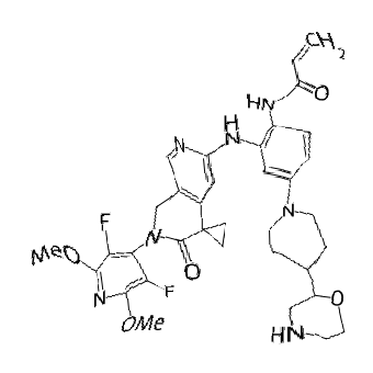 C=CC(=O)Nc1ccc(N2CCC(C3CNCCO3)CC2)cc1Nc1cc2c(cn1)CN(c1c(F)c(OC)nc(OC)c1F)C(=O)C21CC1